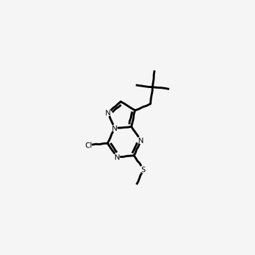 CSc1nc(Cl)n2ncc(CC(C)(C)C)c2n1